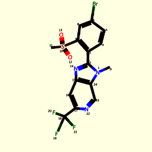 Cn1c(-c2ccc(Br)cc2S(C)(=O)=O)nc2cc(C(F)(F)F)ncc21